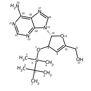 CC(C)(C)[Si](C)(C)OC1C=C(CO)O[C@H]1n1cnc2c(N)ncnc21